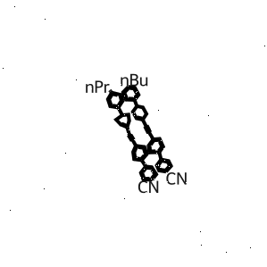 CCCCc1ccc(C2CC=C(C#Cc3ccc(-c4ccc(C#N)cc4)cc3)CC2)cc1.CCCc1ccc(C2CC=C(C#Cc3ccc(-c4ccc(C#N)cc4)cc3)CC2)cc1